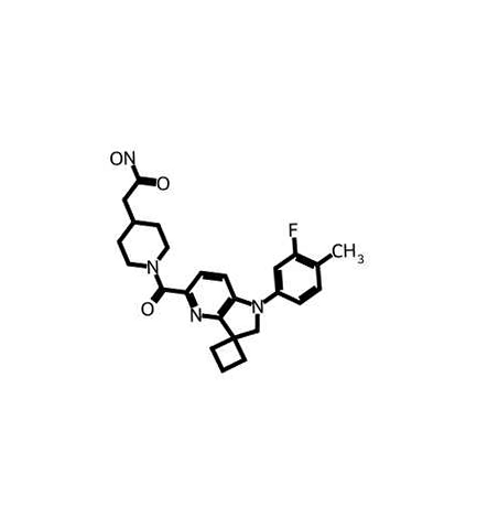 Cc1ccc(N2CC3(CCC3)c3nc(C(=O)N4CCC(CC(=O)N=O)CC4)ccc32)cc1F